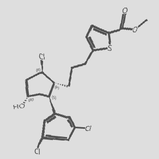 COC(=O)c1ccc(CCC[C@@H]2[C@@H](c3cc(Cl)cc(Cl)c3)[C@H](O)C[C@H]2Cl)s1